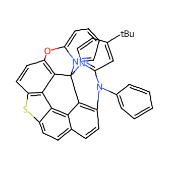 CC(C)(C)c1cc[n+]2c(c1)N(c1ccccc1)c1ccc3ccc4sc5ccc6c7c5c4c3c1C72[n+]1ccccc1O6